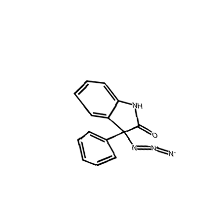 [N-]=[N+]=NC1(c2ccccc2)C(=O)Nc2ccccc21